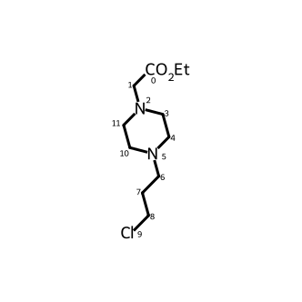 CCOC(=O)CN1CCN(CCCCl)CC1